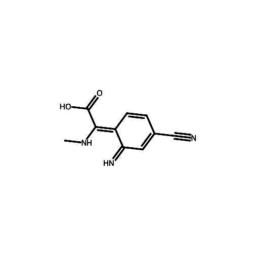 CN/C(C(=O)O)=C1/C=CC(C#N)=CC1=N